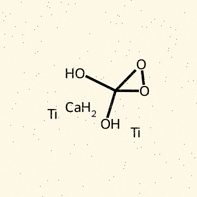 OC1(O)OO1.[CaH2].[Ti].[Ti]